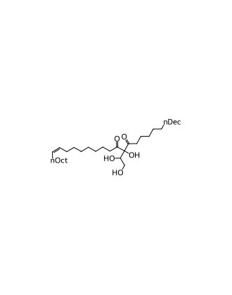 CCCCCCCC/C=C\CCCCCCCC(=O)C(O)(C(=O)CCCCCCCCCCCCCCC)C(O)CO